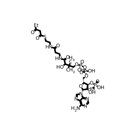 CCC(=O)CC(=O)SCCNC(=O)CCNC(=O)C(O)C(C)(C)COP(=O)(O)OP(=O)(O)OC[C@H]1O[C@@H](n2cnc3c(N)ncnc32)[C@H](O)[C@@H]1OP(=O)(O)O